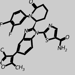 Cc1noc(C)c1-c1ccc2c(c1)nc([C@@H]1CCCC(=O)N1c1ccc(F)c(F)c1)n2-c1ncc(C(N)=O)s1